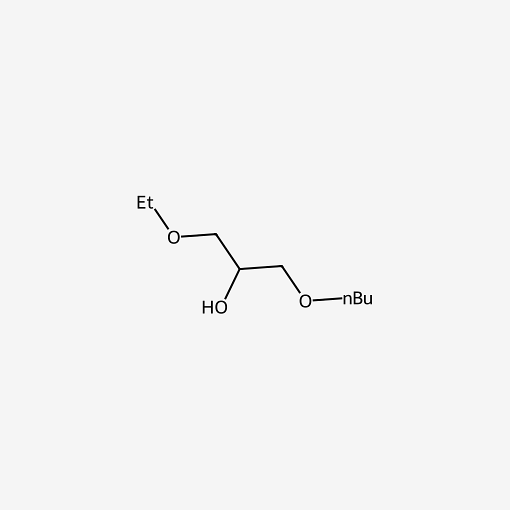 CCCCOCC(O)COCC